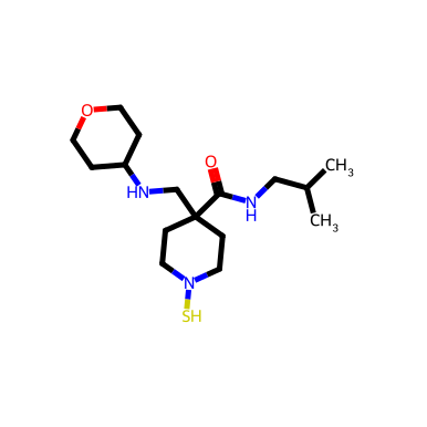 CC(C)CNC(=O)C1(CNC2CCOCC2)CCN(S)CC1